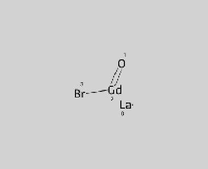 [La].[O]=[Gd][Br]